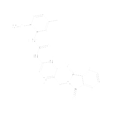 COc1ccc(C)cc1NC(=O)Nc1cnc(CN2C(=O)c3ccccc3C2=O)cn1